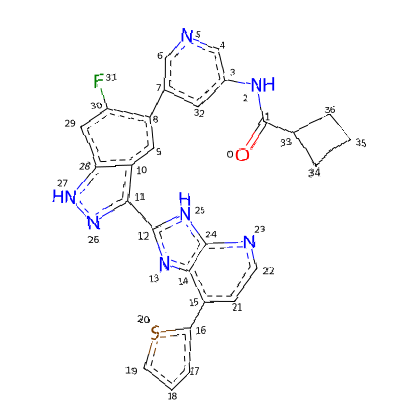 O=C(Nc1cncc(-c2cc3c(-c4nc5c(-c6cccs6)ccnc5[nH]4)n[nH]c3cc2F)c1)C1CCC1